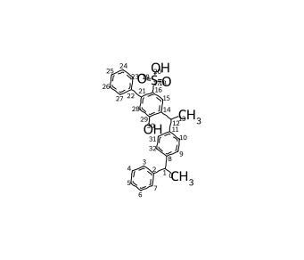 CC(c1ccccc1)c1ccc(C(C)c2cc(S(=O)(=O)O)c(-c3ccccc3)cc2O)cc1